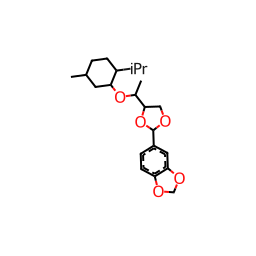 CC1CCC(C(C)C)C(OC(C)C2COC(c3ccc4c(c3)OCO4)O2)C1